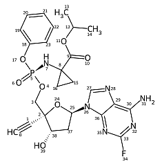 C#C[C@]1(CO[P@@](=O)(NC2(C(=O)OC(C)C)CC2)Oc2ccccc2)O[C@@H](n2cnc3c(N)nc(F)nc32)C[C@@H]1O